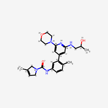 Cc1ccc(NC(=O)N2CC=C(C(F)(F)F)C2)cc1-c1cc(NCC(C)O)nc(N2CCOCC2)c1